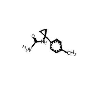 Cc1ccc(C2(NC(N)=O)CC2)cc1